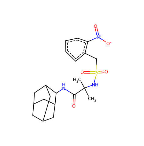 CC(C)(NS(=O)(=O)Cc1ccccc1[N+](=O)[O-])C(=O)NC1C2CC3CC(C2)CC1C3